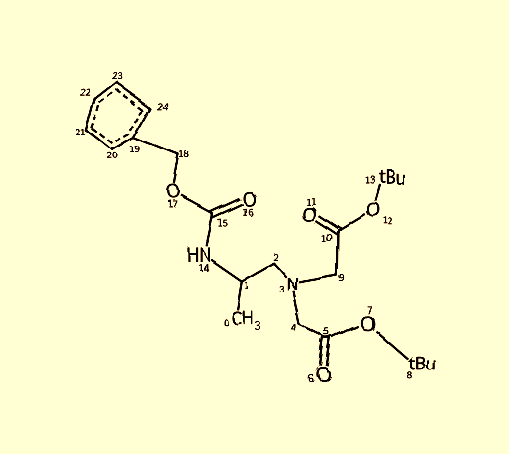 CC(CN(CC(=O)OC(C)(C)C)CC(=O)OC(C)(C)C)NC(=O)OCc1ccccc1